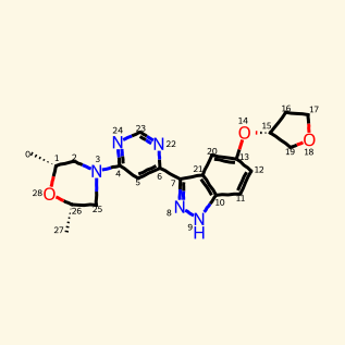 C[C@@H]1CN(c2cc(-c3n[nH]c4ccc(O[C@@H]5CCOC5)cc34)ncn2)C[C@H](C)O1